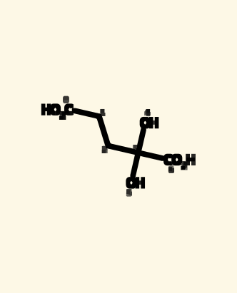 O=C(O)CCC(O)(O)C(=O)O